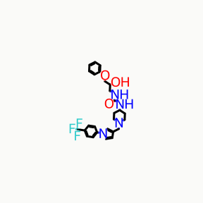 O=C(NCC(O)COc1ccccc1)NC1CCN(Cc2ccn(-c3ccc(C(F)(F)F)cc3)c2)CC1